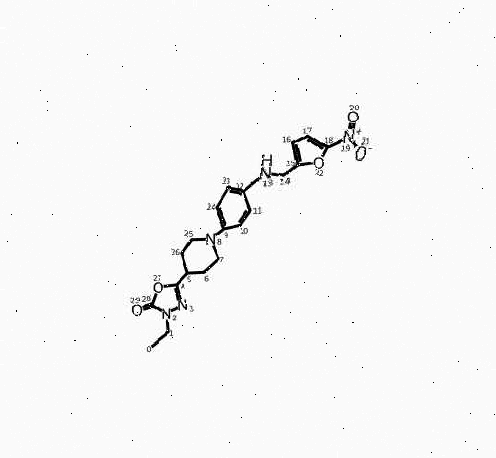 CCn1nc(C2CCN(c3ccc(NCc4ccc([N+](=O)[O-])o4)cc3)CC2)oc1=O